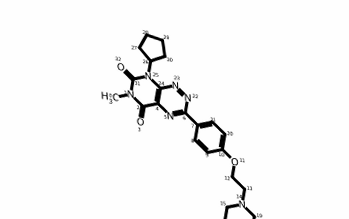 Cn1c(=O)c2nc(-c3ccc(OCCN4CCCCC4)cc3)nnc2n(C2CCCC2)c1=O